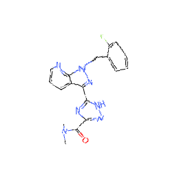 CN(C)C(=O)c1n[nH]c(-c2nn(Cc3ccccc3F)c3ncccc23)n1